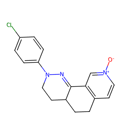 [O-][n+]1ccc2c(c1)C1=NN(c3ccc(Cl)cc3)CCC1CC2